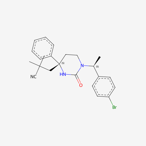 C[C@@H](c1ccc(Br)cc1)N1CC[C@@](CC(C)(C)C#N)(c2ccccc2)NC1=O